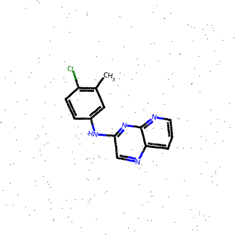 Cc1cc(Nc2cnc3cccnc3n2)ccc1Cl